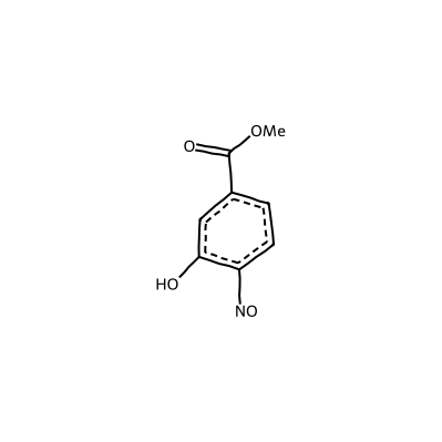 COC(=O)c1ccc(N=O)c(O)c1